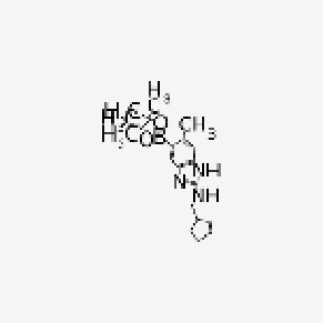 Cc1cc2[nH]c(NCC3CCCC3)nc2cc1B1OC(C)(C)C(C)(C)O1